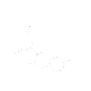 CCCCN(C#N)C(=O)C(C)Oc1ccc(O)cc1